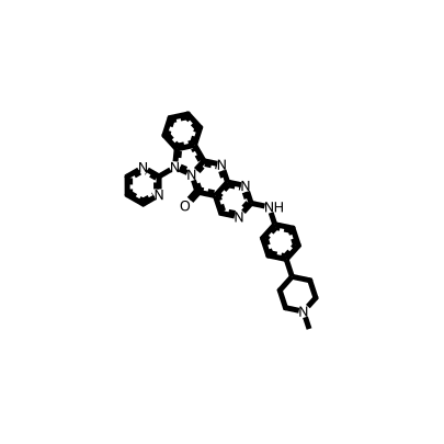 CN1CCC(c2ccc(Nc3ncc4c(=O)n5c(nc4n3)c3ccccc3n5-c3ncccn3)cc2)CC1